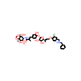 CC(=Cc1ccc(O[C@@H]2O[C@H](C(C)=CCOc3ccc(CNCc4ccccc4)cc3Cl)[C@@H](O)[C@@H]2O)c(O)c1)C(=O)N[C@@H]1[C@H](O)[C@@H](O)[C@H]2OCO[C@H]2[C@@H]1O